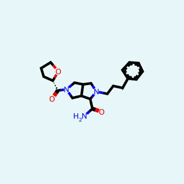 NC(=O)C1C2CN(C(=O)[C@@H]3CCCO3)CC2CN1CC[CH]c1ccccc1